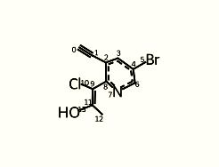 C#Cc1cc(Br)cnc1/C(Cl)=C(\C)O